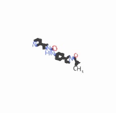 CC1CC1C(=O)N1CCC(c2ccc(NC(=O)N3CC(c4cccnc4)C3)cc2)C1